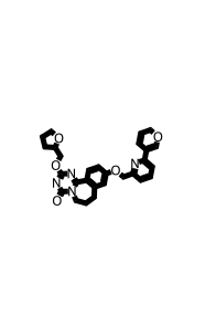 O=c1nc(OCC2CCCO2)nc2n1CCCc1cc(OCc3cccc(C4=COCC=C4)n3)ccc1-2